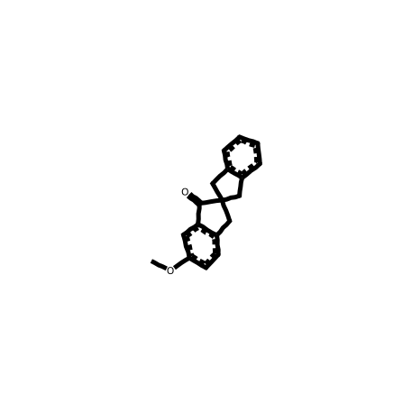 COc1ccc2c(c1)C(=O)C1(Cc3ccccc3C1)C2